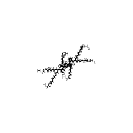 CCCCCCCCCCC(CCCCCCCC)Cc1ccsc1C1=c2cc3c(cc2N(CCCCCC)C1=O)=C(c1sccc1CC(CCCCCCCC)CCCCCCCCCC)C(=O)N3CCCCCC